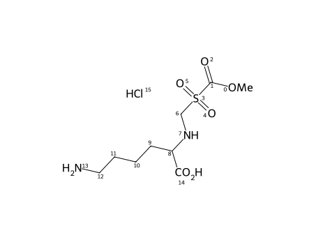 COC(=O)S(=O)(=O)CNC(CCCCN)C(=O)O.Cl